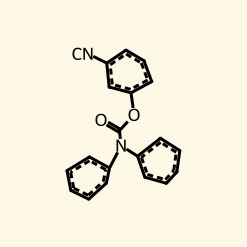 [C-]#[N+]c1cccc(OC(=O)N(c2ccccc2)c2ccccc2)c1